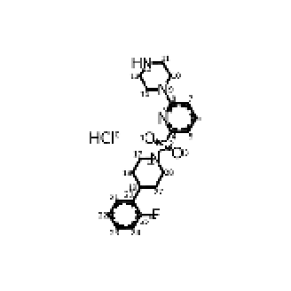 Cl.O=S(=O)(c1cccc(N2CCNCC2)n1)N1CCC(c2ccccc2F)CC1